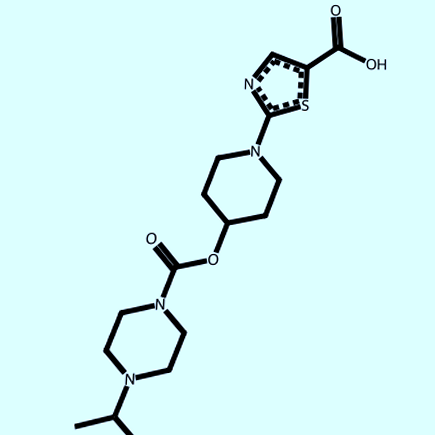 CC(C)N1CCN(C(=O)OC2CCN(c3ncc(C(=O)O)s3)CC2)CC1